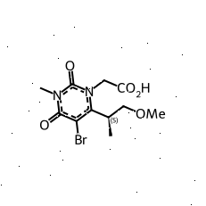 COC[C@@H](C)c1c(Br)c(=O)n(C)c(=O)n1CC(=O)O